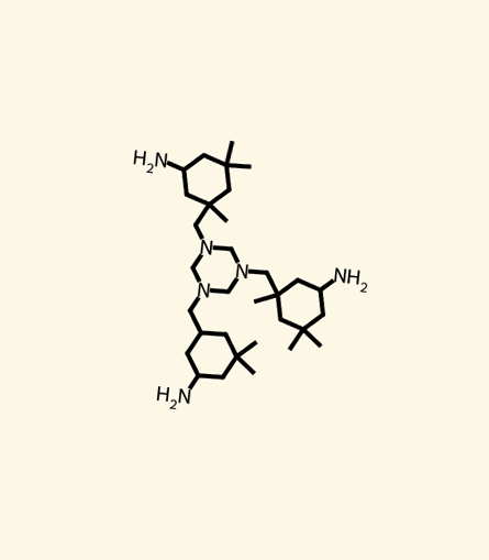 CC1(C)CC(N)CC(CN2CN(CC3(C)CC(N)CC(C)(C)C3)CN(CC3(C)CC(N)CC(C)(C)C3)C2)C1